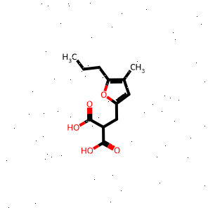 CCCc1oc(CC(C(=O)O)C(=O)O)cc1C